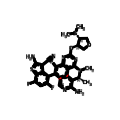 C[C@H](c1cncnc1N)N(C)c1nc(O[C@@H]2COC[C@H]2N(C)C)nc2c(F)c(-c3c(F)cc(F)c4sc(N)c(C#N)c34)c(Cl)cc12